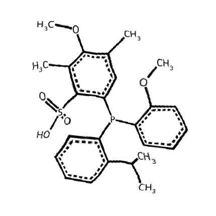 COc1ccccc1P(c1ccccc1C(C)C)c1cc(C)c(OC)c(C)c1S(=O)(=O)O